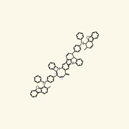 C=C1/C=C\C(c2ccc(N(c3ccccc3)c3c(C)ccc4c3oc3ccccc34)cc2)=C2\c3ccccc3N2c2cc3c4c5n(c3cc21)-c1ccccc1C5C(c1ccc(N(c2ccccc2)C2c3oc5ccccc5c3C=CC2C)cc1)C=C4